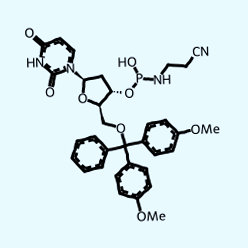 COc1ccc(C(OC[C@H]2O[C@@H](n3ccc(=O)[nH]c3=O)C[C@@H]2OP(O)NCCC#N)(c2ccccc2)c2ccc(OC)cc2)cc1